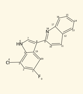 Fc1cc(Cl)c2[nH]cc(-c3ccc4ccccc4n3)c2c1